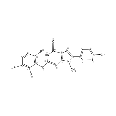 Cn1c(-c2ccc(Cl)cc2)nc2c(=O)[nH]c(Oc3c(F)ccc(F)c3F)nc21